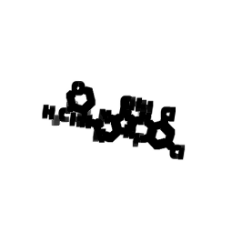 C[C@H]1COCC[C@H]1Nc1ncc2nc(Nc3c(F)cc(Cl)cc3Cl)n(C)c2n1